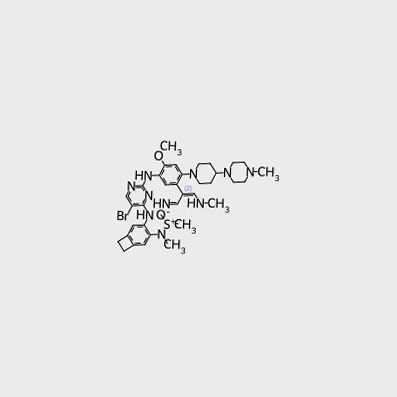 CN/C=C(\C=N)c1cc(Nc2ncc(Br)c(Nc3cc4c(cc3N(C)[S+](C)[O-])CC4)n2)c(OC)cc1N1CCC(N2CCN(C)CC2)CC1